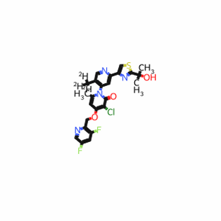 [2H]C([2H])([2H])c1cnc(-c2csc(C(C)(C)O)n2)cc1-n1c(C)cc(OCc2ncc(F)cc2F)c(Cl)c1=O